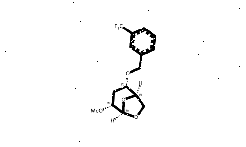 CO[C@@H]1C[C@H](OCc2cccc(C(F)(F)F)c2)[C@H]2CO[C@@H]1O2